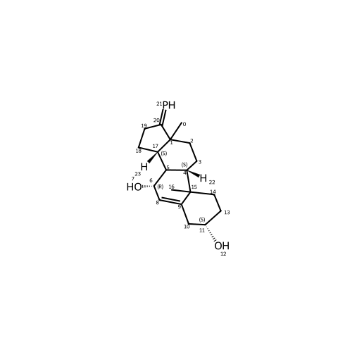 CC12CC[C@H]3C([C@@H](O)C=C4C[C@@H](O)CCC43C)[C@@H]1CCC2=P